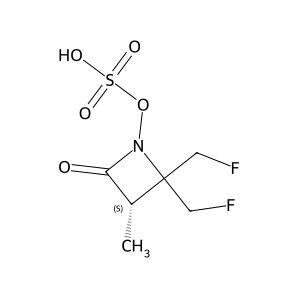 C[C@@H]1C(=O)N(OS(=O)(=O)O)C1(CF)CF